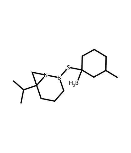 BC1(SB2CCCC3(C(C)C)CN23)CCCC(C)C1